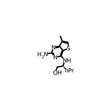 CCC[C@@H](CO)Nc1nc(N)nc2c(C)csc12